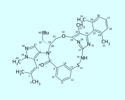 CC(C)=Cc1c(N2C(=O)c3cccc(c3)SNc3nc(c(C)c(-c4c(C)cccc4C)n3)OC[C@H]2CC(C)(C)C)cnn1C